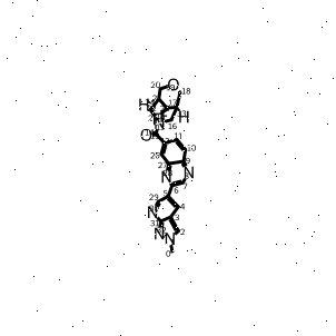 Cn1cc2cc(-c3cnc4ccc(C(=O)N5C[C@H]6COC[C@H](C5)C6(F)F)cc4n3)cnc2n1